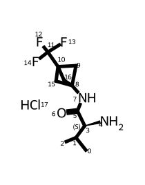 CC(C)[C@H](N)C(=O)NC12CC(C(F)(F)F)(C1)C2.Cl